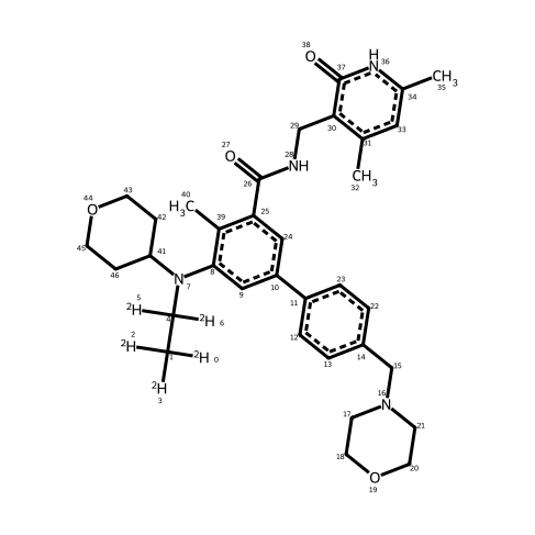 [2H]C([2H])([2H])C([2H])([2H])N(c1cc(-c2ccc(CN3CCOCC3)cc2)cc(C(=O)NCc2c(C)cc(C)[nH]c2=O)c1C)C1CCOCC1